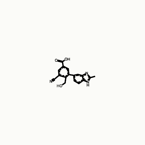 Cc1nc2cc(-c3cc(C(=O)O)cc(C#N)c3CO)ccc2[nH]1